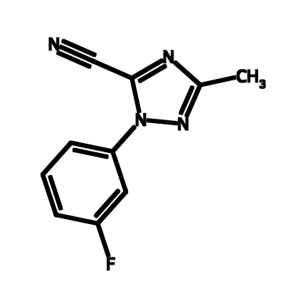 Cc1nc(C#N)n(-c2cccc(F)c2)n1